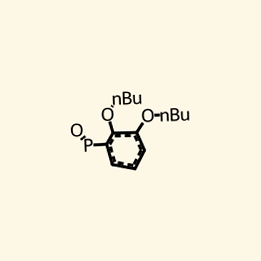 CCCCOc1cccc(P=O)c1OCCCC